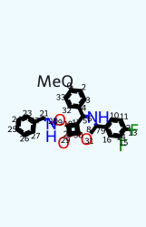 COc1ccc(C(NC(C)c2ccc(F)c(F)c2)c2c(ONCc3ccccc3)c(=O)c2=O)cc1